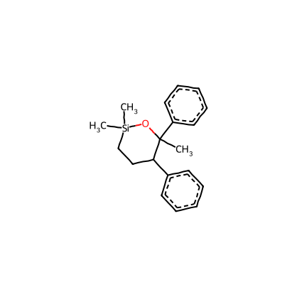 CC1(c2ccccc2)O[Si](C)(C)CCC1c1ccccc1